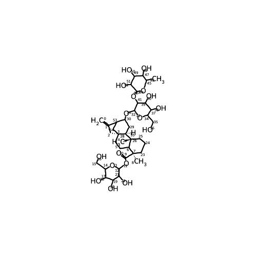 C=C1C[C@@]23CCC4[C@](C)(C(=O)OC5OC(CO)C(O)C(O)C5O)CCC[C@@]4(C)[C@@H]2CC(OC2OC(CO)C(O)C(O)C2OC2OC(C)C(O)C(O)C2O)C1C3